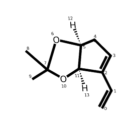 C=CC1=C[CH][C@@H]2OC(C)(C)O[C@H]12